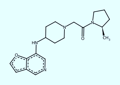 C[C@@H]1CCCN1C(=O)CN1CCC(Nc2cncc3ccoc23)CC1